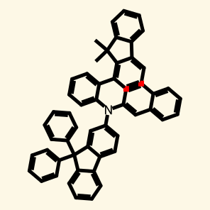 CC1(C)c2ccccc2-c2cccc(-c3ccccc3N(c3ccc4c(c3)C(c3ccccc3)(c3ccccc3)c3ccccc3-4)c3ccc4ccccc4c3)c21